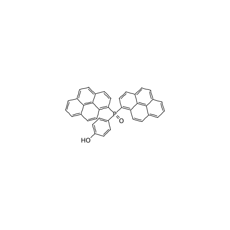 O=P(c1ccc(O)cc1)(c1ccc2ccc3cccc4ccc1c2c34)c1ccc2ccc3cccc4ccc1c2c34